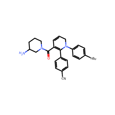 CCCCc1ccc(N2CC=CC(C(=O)N3CCCC(N)C3)=C2c2ccc(C#N)cc2)cc1